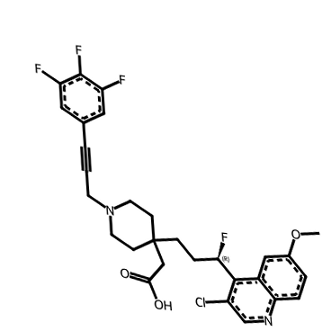 COc1ccc2ncc(Cl)c([C@H](F)CCC3(CC(=O)O)CCN(CC#Cc4cc(F)c(F)c(F)c4)CC3)c2c1